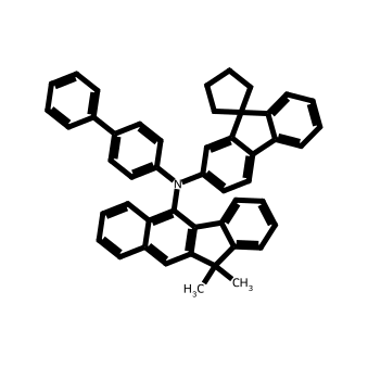 CC1(C)c2ccccc2-c2c1cc1ccccc1c2N(c1ccc(-c2ccccc2)cc1)c1ccc2c(c1)C1(CCCC1)c1ccccc1-2